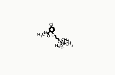 COC(=O)c1cc(Cl)ccc1OCCCO[Si](C)(C)C(C)(C)C